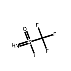 N=S(=O)(I)C(F)(F)F